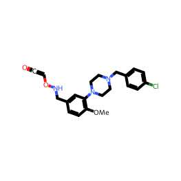 COc1ccc(CNOC=C=O)cc1N1CCN(Cc2ccc(Cl)cc2)CC1